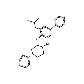 CC(C)Cn1cc(-c2ccncc2)cc(N[C@H]2CC[C@@H](c3ccccc3)CC2)c1=O